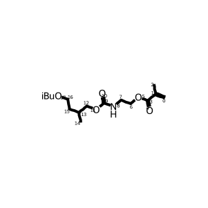 C=C(C)C(=O)OCCNC(=O)OCC(C)CCOCC(C)C